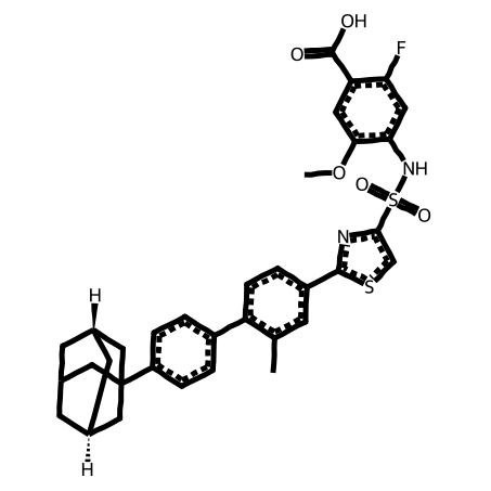 COc1cc(C(=O)O)c(F)cc1NS(=O)(=O)c1csc(-c2ccc(-c3ccc(C45CC6C[C@H](C4)C[C@H](C6)C5)cc3)c(C)c2)n1